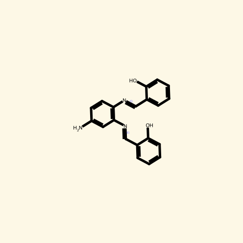 Nc1ccc(/N=C/c2ccccc2O)c(/N=C/c2ccccc2O)c1